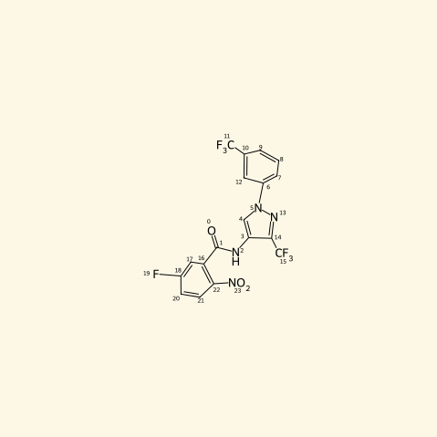 O=C(Nc1cn(-c2cccc(C(F)(F)F)c2)nc1C(F)(F)F)c1cc(F)ccc1[N+](=O)[O-]